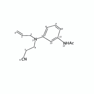 C=CCN(CCC#N)c1cccc(NC(C)=O)c1